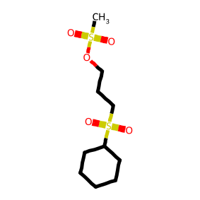 CS(=O)(=O)OCCCS(=O)(=O)C1CCCCC1